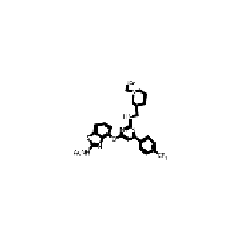 CC(=O)Nc1nc2c(Oc3cc(-c4ccc(C(F)(F)F)cc4)nc(NCC4CCCN(CC(C)C)C4)n3)cccc2s1